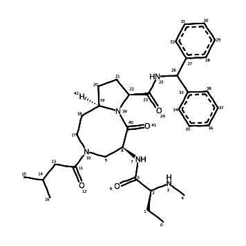 CC[C@H](NC)C(=O)N[C@H]1CN(C(=O)CC(C)C)CC[C@H]2CC[C@@H](C(=O)NC(c3ccccc3)c3ccccc3)N2C1=O